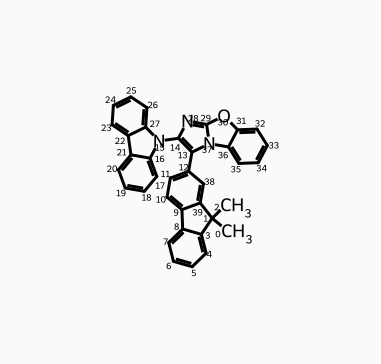 CC1(C)c2ccccc2-c2ccc(-c3c(-n4c5ccccc5c5ccccc54)nc4oc5ccccc5n34)cc21